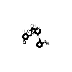 CCOc1ccccc1COc1ccnc2c(C)c(C)n(Cc3cccc(Cl)c3)c12